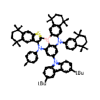 Cc1ccc(N2c3cc(-n4c5ccc(C(C)(C)C)cc5c5cc(C(C)(C)C)ccc54)cc4c3B(c3cc5c(cc3N4c3ccc4c(c3)C(C)(C)CCC4(C)C)C(C)(C)CCC5(C)C)c3sc4cc5c(cc4c32)C(C)(C)CCC5(C)C)cc1